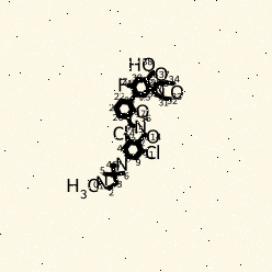 CN1CCC2(C1)CN(c1cc(Cl)c(C(=O)N3COc4c(cccc4-c4cc(N5C6CCC5COC6)c(C(=O)O)cc4F)C3)c(Cl)c1)C2